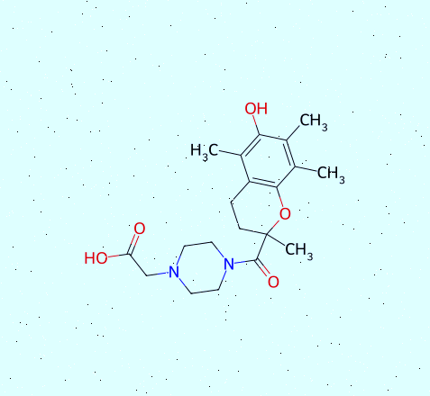 Cc1c(C)c2c(c(C)c1O)CCC(C)(C(=O)N1CCN(CC(=O)O)CC1)O2